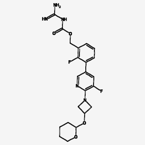 N=C(N)NC(=O)OCc1cccc(-c2cnc(N3CC(OC4CCCCO4)C3)c(F)c2)c1F